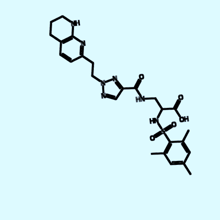 Cc1cc(C)c(S(=O)(=O)NC(CNC(=O)c2cnn(CCc3ccc4c(n3)NCCC4)n2)C(=O)O)c(C)c1